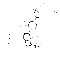 C[C@@H]1CN(c2ccc3nnc(C(F)(F)F)n3n2)[C@@H](C)CN1C(=O)OC(C)(C)C